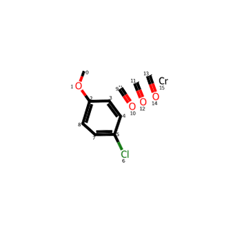 COc1ccc(Cl)cc1.[C]=O.[C]=O.[C]=O.[Cr]